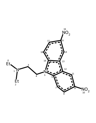 CCN(CC)CCn1c2ccc([N+](=O)[O-])cc2c2cc([N+](=O)[O-])ccc21